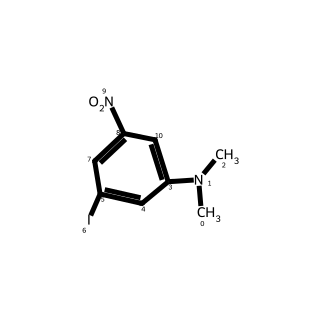 CN(C)c1cc(I)cc([N+](=O)[O-])c1